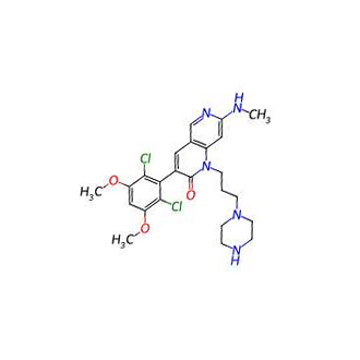 CNc1cc2c(cn1)cc(-c1c(Cl)c(OC)cc(OC)c1Cl)c(=O)n2CCCN1CCNCC1